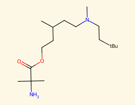 CC(CCOC(=O)C(C)(C)N)CCN(C)CCC(C)(C)C